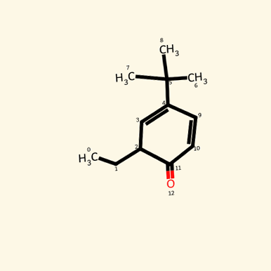 CCC1C=C(C(C)(C)C)C=CC1=O